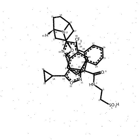 O=C(NCCS(=O)(=O)O)c1ccc2nc(N3C4CC[C@H]3CC(OCc3c(-c5ccccc5OC(F)(F)F)noc3C3CC3)C4)sc2c1